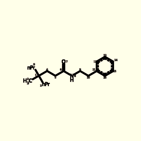 CCCC(C)(CCC)CCC(=O)NCCc1ccccc1